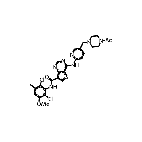 COc1cc(C)c(Cl)c(NC(=O)c2csc3c(Nc4ccc(CN5CCN(C(C)=O)CC5)cn4)ncnc23)c1Cl